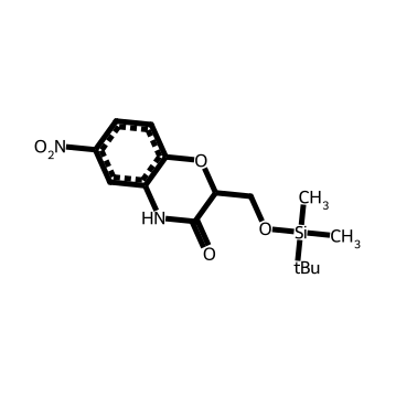 CC(C)(C)[Si](C)(C)OCC1Oc2ccc([N+](=O)[O-])cc2NC1=O